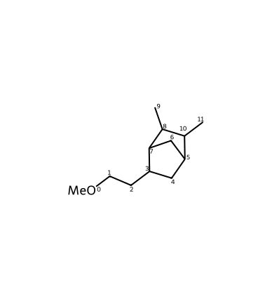 COCCC1CC2CC1C(C)C2C